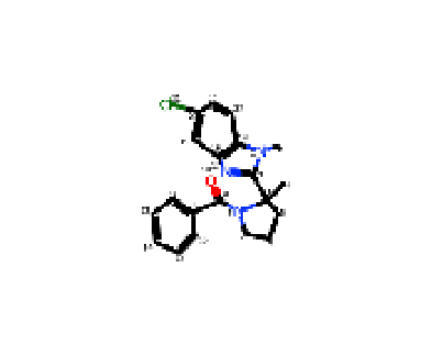 Cn1c(C2(C)CCCN2C(=O)c2ccccc2)nc2cc(Cl)ccc21